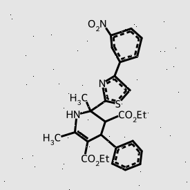 CCOC(=O)C1=C(C)NC(C)(c2nc(-c3cccc([N+](=O)[O-])c3)cs2)C(C(=O)OCC)C1c1ccccc1